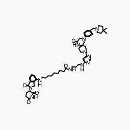 CC1(C)CCN(Cc2ccc(N3CC(=O)NC4(CCN(c5cc(NCCCNC(=O)CCCCCCCCNc6cccc7c6CN(C6CCC(=O)NC6=O)C7=O)ncn5)CC4)C3)cc2)CC1